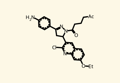 CCOc1ccc2cc(C3CC(c4ccc(N)cc4)=NN3C(=O)CCCC(C)=O)c(Cl)nc2c1